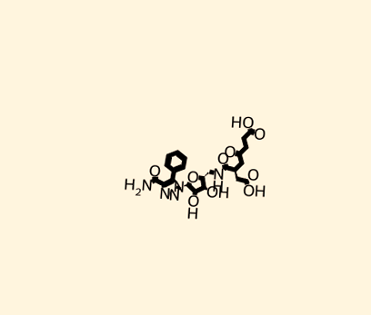 NC(=O)c1nnn([C@@H]2O[C@H](CNC(=O)[C@H](CC(=O)O)CC(=O)CCC(=O)O)[C@@H](O)C2O)c1-c1ccccc1